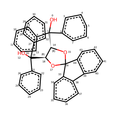 OC(c1ccccc1)(c1ccccc1)[C@@H]1OC2(O[C@H]1C(O)(c1ccccc1)c1ccccc1)c1ccccc1-c1ccccc12